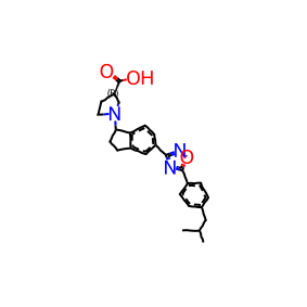 CC(C)Cc1ccc(-c2nc(-c3ccc4c(c3)CCC4N3CC[C@@H](C(=O)O)C3)no2)cc1